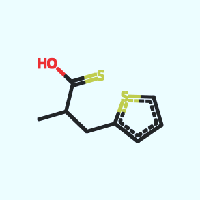 CC(Cc1cccs1)C(O)=S